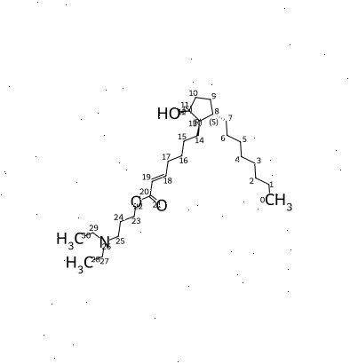 CCCCCCCC[C@H]1CC[C@H](O)[C@@H]1CCCCC=CC(=O)OCCCN(CC)CC